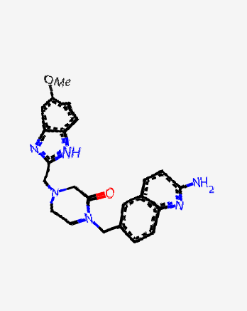 COc1ccc2[nH]c(CN3CCN(Cc4ccc5nc(N)ccc5c4)C(=O)C3)nc2c1